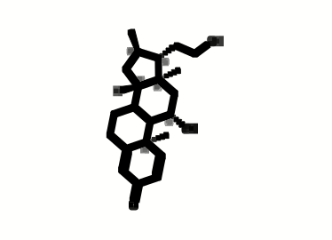 C[C@@H]1C[C@H]2C3CCC4=CC(=O)C=C[C@]4(C)C3[C@@H](O)C[C@]2(C)[C@H]1CCO